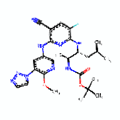 COc1ncc(Nc2nc(N[C@H](CC(C)C)[C@H](C)NC(=O)OC(C)(C)C)c(F)cc2C#N)cc1-n1ccnn1